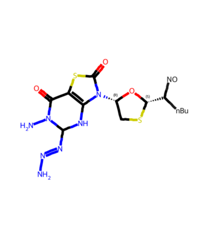 CCCCC(N=O)[C@H]1O[C@@H](n2c3c(sc2=O)C(=O)N(N)C(N=NN)N3)CS1